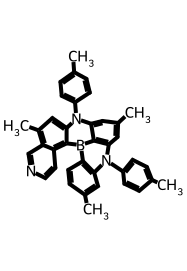 Cc1ccc(N2c3cc(C)ccc3B3c4c2cc(C)cc4N(c2ccc(C)cc2)c2cc(C)c4cnccc4c23)cc1